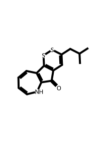 CC(C)Cc1cc2c(=O)c3[nH]ccccc3c2ss1